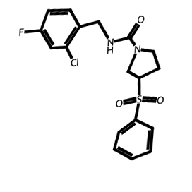 O=C(NCc1ccc(F)cc1Cl)N1CCC(S(=O)(=O)c2ccccc2)C1